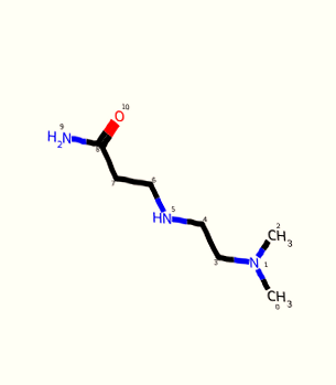 CN(C)CCNCCC(N)=O